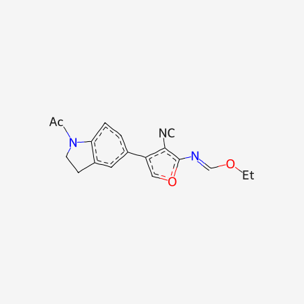 [C-]#[N+]c1c(-c2ccc3c(c2)CCN3C(C)=O)coc1/N=C/OCC